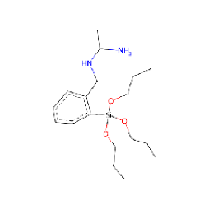 CCCO[Si](OCCC)(OCCC)c1ccccc1CNC(C)N